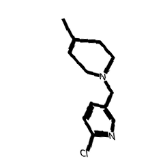 CC1CCN(Cc2ccc(Cl)nc2)CC1